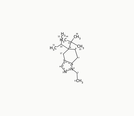 CCn1ncc2c1CCC(C(C)C)(C(C)(C)C)C2